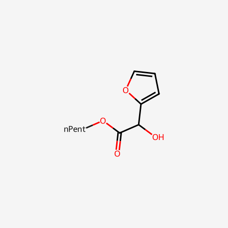 CCCCCOC(=O)C(O)c1ccco1